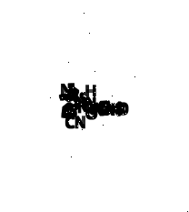 CC1=CC(c2sc(NC(=O)N3CCN(C4COC4)CC3)nc2-c2cccc(C#N)c2)CC(C)=N1